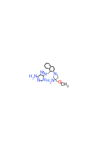 COCC1(N)CCN(c2ccc3ccccc3c2Cn2cnc3c(N)ncnc32)C1